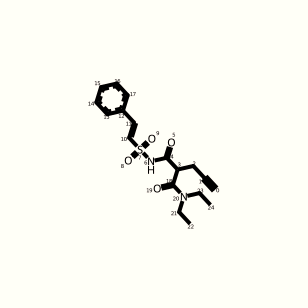 C#CCC(C(=O)NS(=O)(=O)C=Cc1ccccc1)C(=O)N(CC)CC